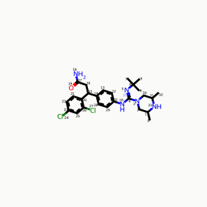 CC1CN(/C(=N\C(C)(C)C)Nc2ccc(C(CC(N)=O)c3ccc(Cl)cc3Cl)cc2)CC(C)N1